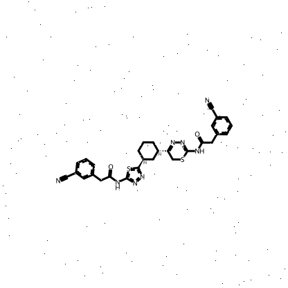 N#Cc1cccc(CC(=O)NC2=NN=C([C@H]3CCC[C@H](c4nnc(NC(=O)Cc5cccc(C#N)c5)s4)C3)CS2)c1